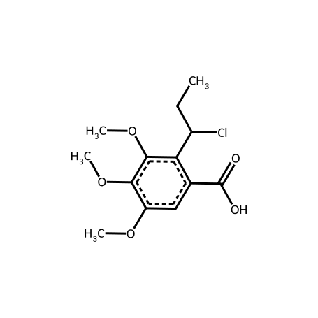 CCC(Cl)c1c(C(=O)O)cc(OC)c(OC)c1OC